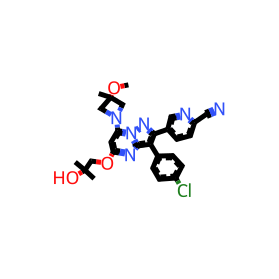 COC1(C)CN(c2cc(OCC(C)(C)O)nc3c(-c4ccc(Cl)cc4)c(-c4ccc(C#N)nc4)nn23)C1